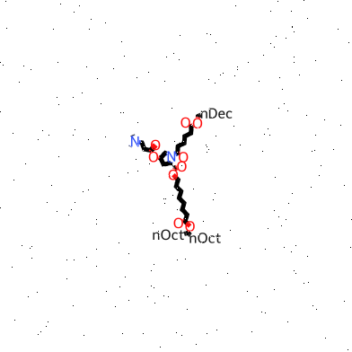 CCCCCCCCCCCOC(=O)CCCCC(=O)N1CC(OC(=O)CCN(C)C)C[C@H]1C(=O)OCCCCCCCC(=O)OC(CCCCCCCC)CCCCCCCC